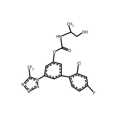 CC(CO)NC(=O)Oc1cc(-c2ccc(F)cc2Cl)cc(-n2nnnc2C(F)(F)F)c1